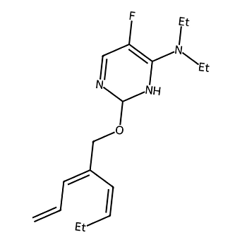 C=C/C=C(\C=C/CC)COC1N=CC(F)=C(N(CC)CC)N1